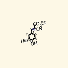 CCOC(=O)/C(C#N)=C/c1ccc(O)c(O)c1